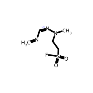 C=N/C=N\N(C)CCS(=O)(=O)F